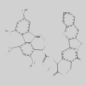 CC[C@@]1(OC(=O)[C@@H]2ON=C3c4cc(N=O)cc(N=O)c4-c4c(N=O)cc(N=O)c2c43)C(=O)OCc2c1cc1n(c2=O)Cc2cc3ccccc3nc2-1